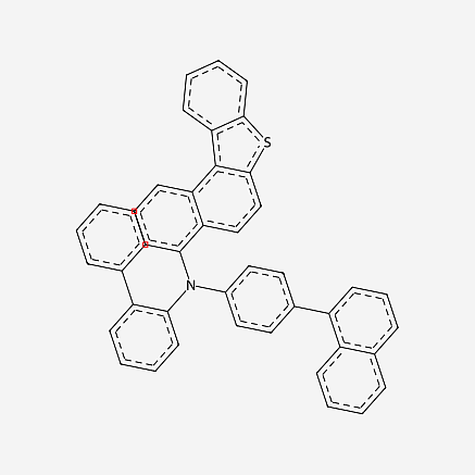 c1ccc(-c2ccccc2N(c2ccc(-c3cccc4ccccc34)cc2)c2cccc3c2ccc2sc4ccccc4c23)cc1